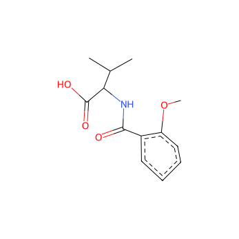 COc1ccccc1C(=O)NC(C(=O)O)C(C)C